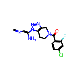 C=N/C=C(\N)n1nnc2c1CCN(C(=O)c1ccc(Cl)cc1F)C2